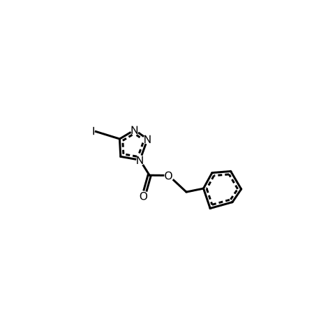 O=C(OCc1ccccc1)n1cc(I)nn1